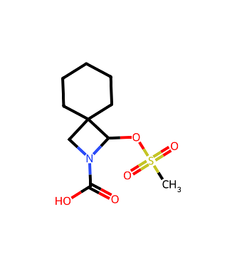 CS(=O)(=O)OC1N(C(=O)O)CC12CCCCC2